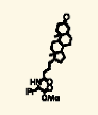 COC(=O)C(NC(=O)CCCC1CCC2C3CCC4CC(=O)CCC4(C)C3CCC12C)C(C)C